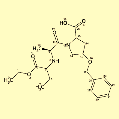 CCOC(=O)C(CC)N[C@@H](C)C(=O)N1CC(OCc2ccccc2)CC1C(=O)O